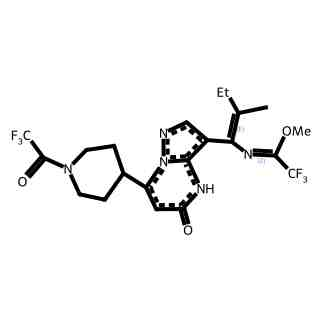 CC/C(C)=C(/N=C(\OC)C(F)(F)F)c1cnn2c(C3CCN(C(=O)C(F)(F)F)CC3)cc(=O)[nH]c12